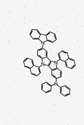 c1ccc(N(c2ccccc2)c2ccc3c(c2)c2c(c4cc(-n5c6ccccc6c6ccccc65)ccc4n2-c2cccc4ccccc24)n3-c2cccc3ccccc23)cc1